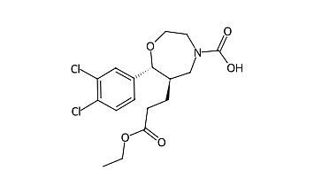 CCOC(=O)CC[C@@H]1CN(C(=O)O)CCO[C@H]1c1ccc(Cl)c(Cl)c1